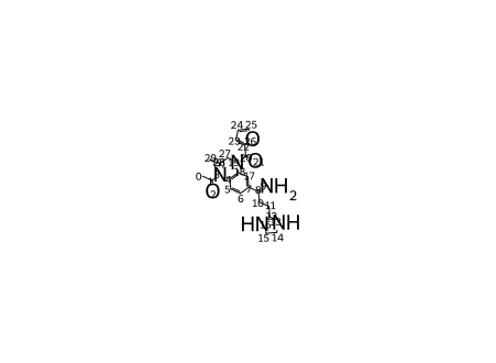 CC(=O)N1c2ccc(C(N)CCC3NCCN3)cc2N(C(=O)c2ccco2)C[C@@H]1C